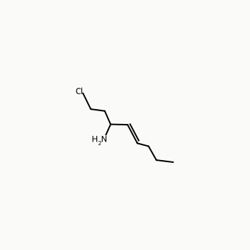 CCC/C=C/C(N)CCCl